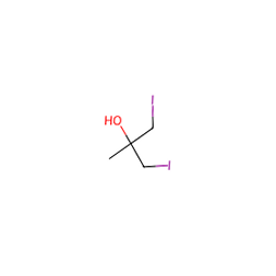 CC(O)(CI)CI